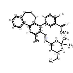 COC(=O)c1cc(-c2c(/C=C/[C@@H]3C[C@H](CC(C)=O)OC(C)(C)O3)c(C(C)C)nc3c2CCCc2ccccc2-3)ccc1F